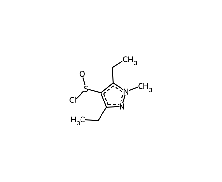 CCc1nn(C)c(CC)c1[S+]([O-])Cl